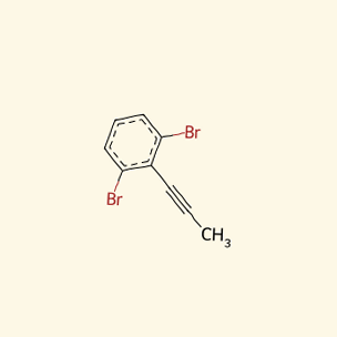 CC#Cc1c(Br)cccc1Br